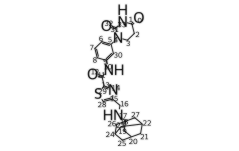 O=C1CCN(c2cccc(NC(=O)c3nc(CNC45CC6CC(CC(C6)C4)C5)cs3)c2)C(=O)N1